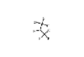 F[C](C(F)(F)Cl)C(Cl)(Cl)Cl